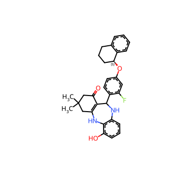 CC1(C)CC(=O)C2=C(C1)Nc1c(O)cccc1NC2c1ccc(O[C@H]2CCCc3ccccc32)cc1F